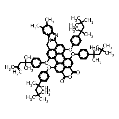 C=C(C)CC(C)(C)c1ccc(Oc2cc3c4c(cc(Oc5ccc(C(C)(C)CC(C)(C)C)cc5)c5c6c(Oc7ccc(C(C)(C)CC(C)(C)C)cc7)cc7c8c(cc(Oc9ccc(C(C)(C)CC(C)(C)C)cc9)c(c2c45)c86)C(=O)OC7=O)-c2nc4cc(C)c(C)cc4n2C3)cc1